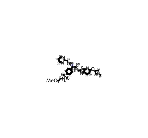 COCCN(C)S(=O)(=O)c1ccc(/C(=N\OCc2ncccn2)C(=O)Nc2nc3ccc(OC4CN(C)C4)nc3s2)cc1